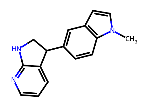 Cn1ccc2cc(C3CNc4ncccc43)ccc21